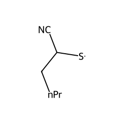 CCCCC([S])C#N